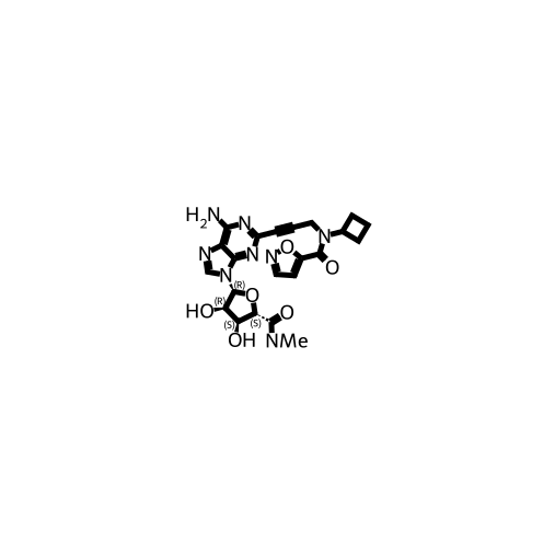 CNC(=O)[C@H]1O[C@@H](n2cnc3c(N)nc(C#CCN(C(=O)c4ccno4)C4CCC4)nc32)[C@H](O)[C@@H]1O